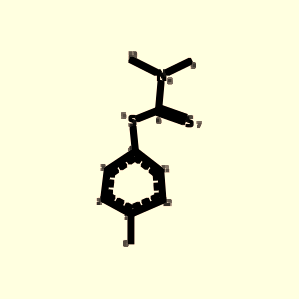 Cc1ccc(SC(=S)N(C)C)cc1